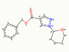 O=C(OCc1ccccc1)c1cnn(C2CCCCO2)c1